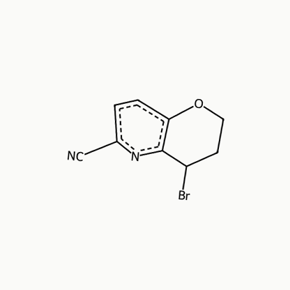 N#Cc1ccc2c(n1)C(Br)CCO2